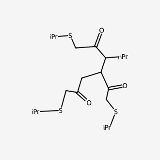 CCCC(C(=O)CSC(C)C)C(CC(=O)CSC(C)C)C(=O)CSC(C)C